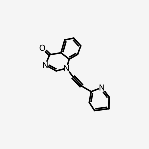 O=c1ncn(C#Cc2ccccn2)c2ccccc12